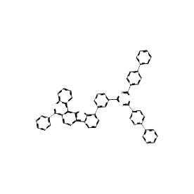 c1ccc(-c2ccc(-c3nc(-c4ccc(-c5ccccc5)cc4)nc(-c4cccc(-c5cccc6c5oc5c6ccc6c(-c7ccccc7)nc7ccccc7c65)c4)n3)cc2)cc1